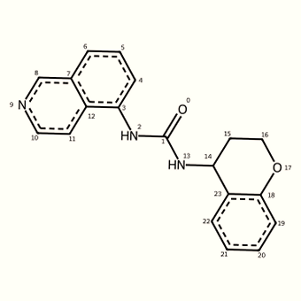 O=C(Nc1cccc2cnccc12)NC1CCOc2ccccc21